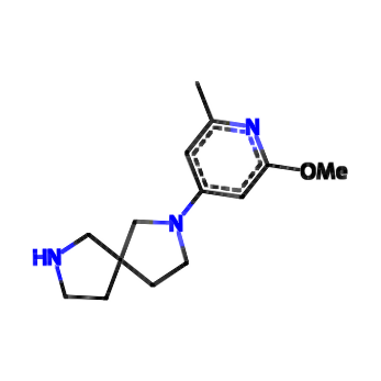 COc1cc(N2CCC3(CCNC3)C2)cc(C)n1